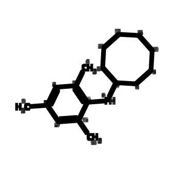 Cc1cc(C)c(PC2CCCCCCC2)c(C)c1